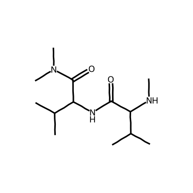 CNC(C(=O)NC(C(=O)N(C)C)C(C)C)C(C)C